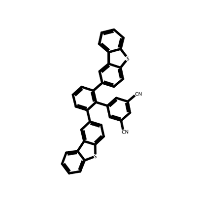 N#Cc1cc(C#N)cc(-c2c(-c3ccc4sc5ccccc5c4c3)cccc2-c2ccc3sc4ccccc4c3c2)c1